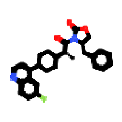 C[C@@H](C(=O)N1C(=O)OC[C@H]1Cc1ccccc1)C1CCC(c2ccnc3ccc(F)cc23)CC1